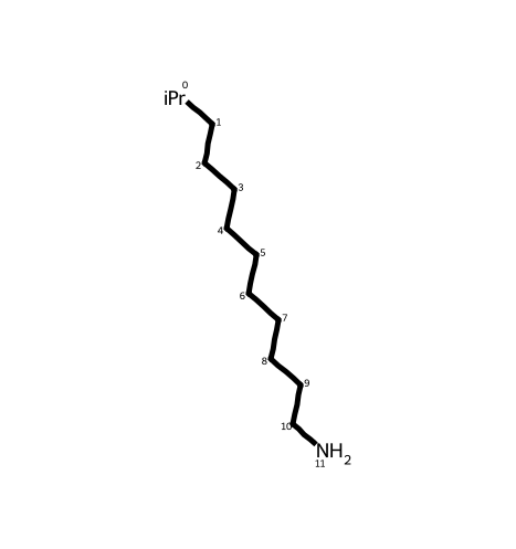 CC(C)CCCCCCCCCCN